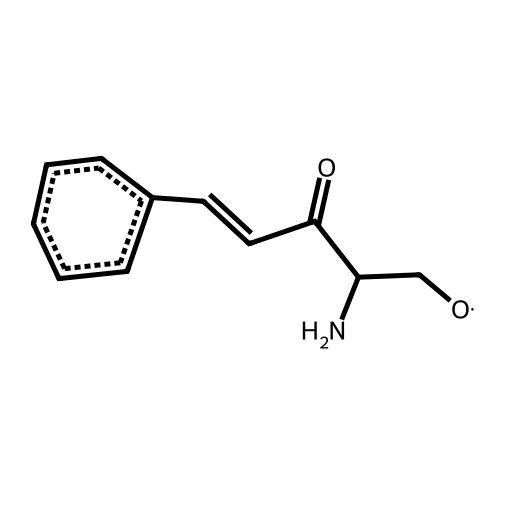 NC(C[O])C(=O)/C=C/c1ccccc1